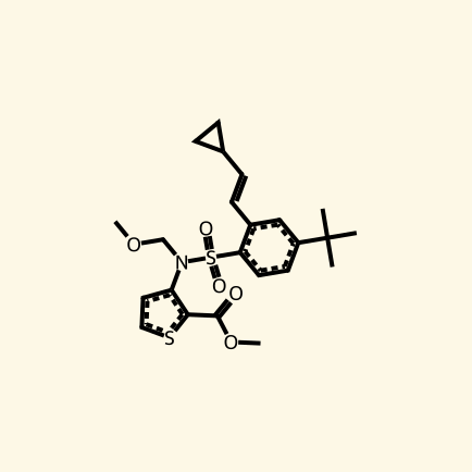 COCN(c1ccsc1C(=O)OC)S(=O)(=O)c1ccc(C(C)(C)C)cc1C=CC1CC1